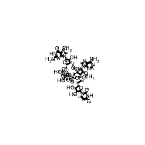 COC[C@H]1[C@@H](O)[C@H](n2c[n+](C)c3c(=O)[nH]c(N)nc32)O[C@@H]1COP(=O)(O)OP(=O)(O)OP(=O)(O)OC[C@H]1O[C@@H](n2cnc3c(N)ncnc32)[C@H](OC)[C@@H]1P(=O)([O-])CC[C@H]1O[C@@H](n2ccc(=O)[nH]c2=O)[C@H](O)[C@@H]1O